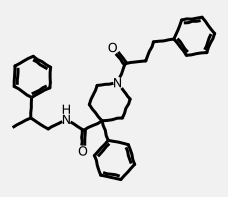 CC(CNC(=O)C1(c2ccccc2)CCN(C(=O)CCc2ccccc2)CC1)c1ccccc1